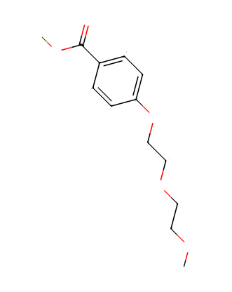 CCOCCOCCOc1ccc(C(=O)OF)cc1